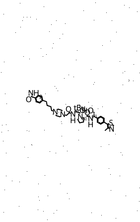 Cc1ncsc1-c1ccc([C@H](CO)NC(=O)[C@@H]2CCCN2C(=O)[C@@H](NC(=O)CN2CCN(CCCCc3ccc(C(N)=O)cc3)CC2)C(C)(C)C)cc1